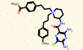 COC(=O)c1ccc(CCC[N+]2(CCCc3ccc(OC)cc3)CCCC(NC(=O)c3nc(Cl)c(N)nc3N)C2)cc1